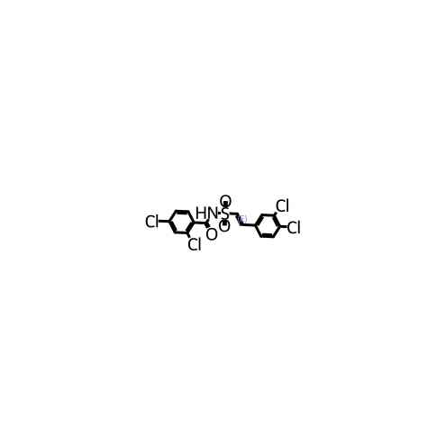 O=C(NS(=O)(=O)/C=C/c1ccc(Cl)c(Cl)c1)c1ccc(Cl)cc1Cl